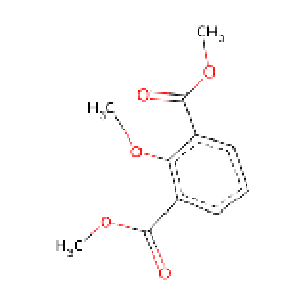 COC(=O)c1cccc(C(=O)OC)c1OC